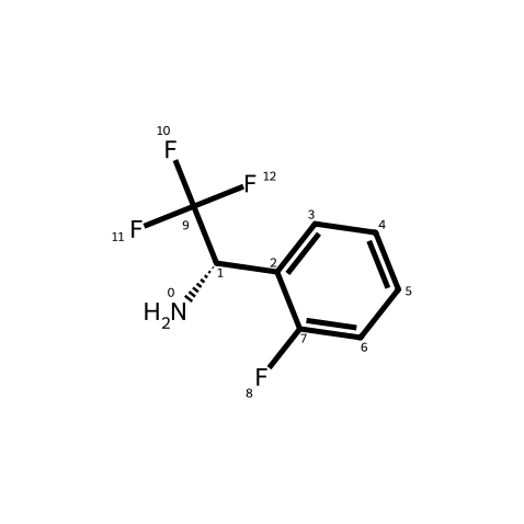 N[C@@H](c1ccccc1F)C(F)(F)F